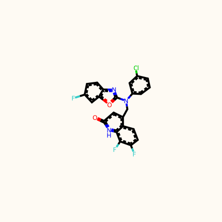 O=c1cc(CN(c2cccc(Cl)c2)c2nc3ccc(F)cc3o2)c2ccc(F)c(F)c2[nH]1